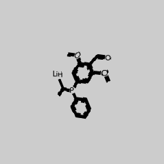 COc1cc(P(c2ccccc2)C(C)C)cc(OC)c1C=O.[LiH]